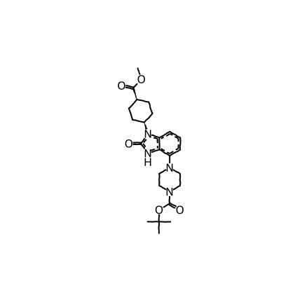 COC(=O)[C@H]1CC[C@@H](n2c(=O)[nH]c3c(N4CCN(C(=O)OC(C)(C)C)CC4)cccc32)CC1